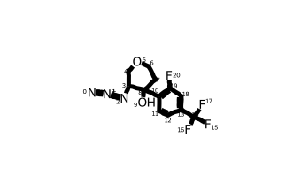 [N-]=[N+]=NC1COCCC1(O)c1ccc(C(F)(F)F)cc1F